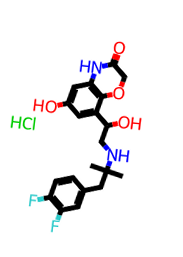 CC(C)(Cc1ccc(F)c(F)c1)NCC(O)c1cc(O)cc2c1OCC(=O)N2.Cl